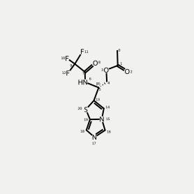 CC(=O)OC[C@@H](NC(=O)C(F)(F)F)c1cn2cncc2s1